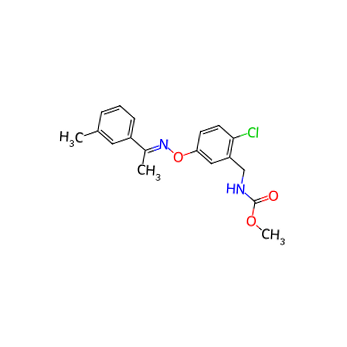 COC(=O)NCc1cc(O/N=C(\C)c2cccc(C)c2)ccc1Cl